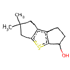 CC1(C)Cc2sc3c(c2C1)CCC3O